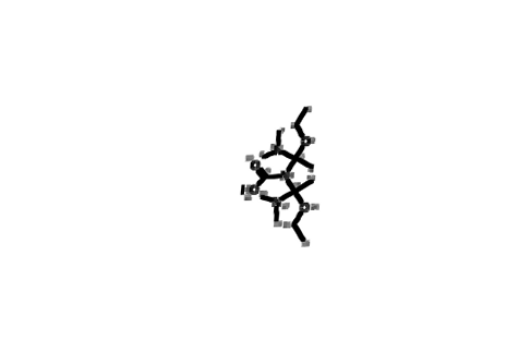 CCOC(C)(N(C)C)N(C(=O)O)C(C)(OCC)N(C)C